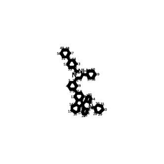 C1=C(c2cccc(-c3ccc4c(c3)-c3ccccc3C43c4ccccc4N(c4ccccc4)c4ccccc43)c2)N=C(c2ccc(-c3ccccc3)cc2)NC1c1ccccc1